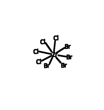 [Cl][Zr]([Cl])([Cl])([Cl])([Br])([Br])([Br])[Br]